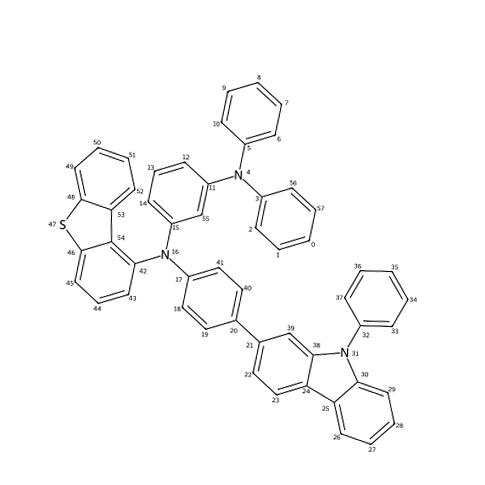 c1ccc(N(c2ccccc2)c2cccc(N(c3ccc(-c4ccc5c6ccccc6n(-c6ccccc6)c5c4)cc3)c3cccc4sc5ccccc5c34)c2)cc1